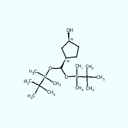 CC(C)(C)[Si](C)(C)OC(O[Si](C)(C)C(C)(C)C)[C@@H]1CC[C@H](O)C1